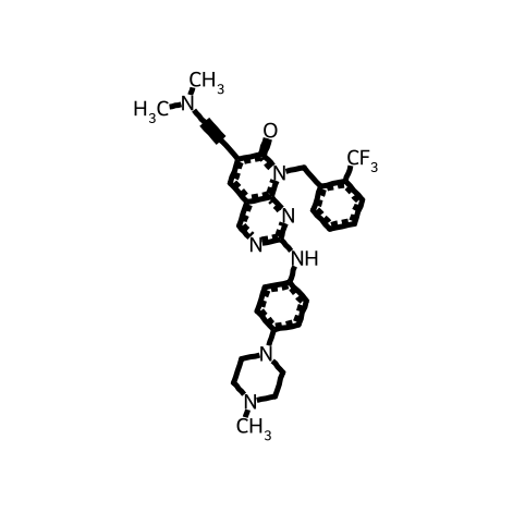 CN(C)C#Cc1cc2cnc(Nc3ccc(N4CCN(C)CC4)cc3)nc2n(Cc2ccccc2C(F)(F)F)c1=O